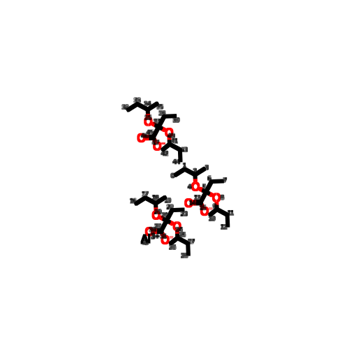 CCC(C)OC(CC)(OC(C)CC)C(=O)[O-].CCC(C)OC(CC)(OC(C)CC)C(=O)[O-].CCC(C)OC(CC)(OC(C)CC)C(=O)[O-].[Al+3]